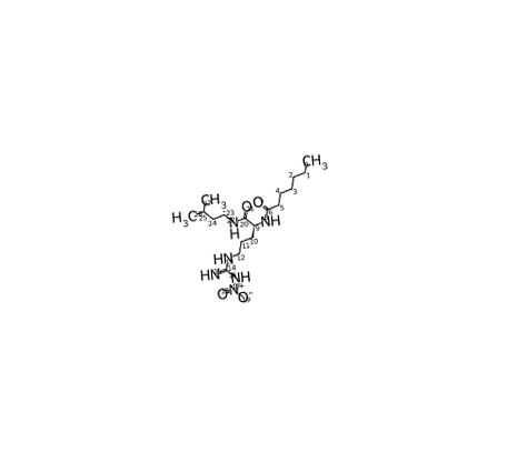 CCCCCCC(=O)N[C@@H](CCCNC(=N)N[N+](=O)[O-])C(=O)N[CH]CC(C)C